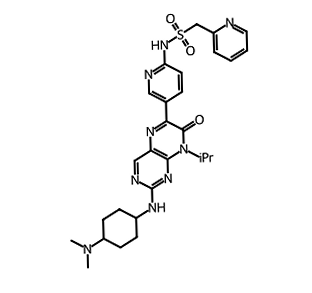 CC(C)n1c(=O)c(-c2ccc(NS(=O)(=O)Cc3ccccn3)nc2)nc2cnc(NC3CCC(N(C)C)CC3)nc21